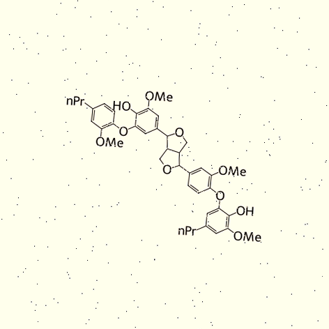 CCCc1ccc(Oc2cc(C3OCC4C(c5ccc(Oc6cc(CCC)cc(OC)c6O)c(OC)c5)OCC34)cc(OC)c2O)c(OC)c1